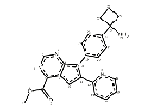 COC(=O)c1ncnc2c1cc(-c1ccccn1)n2-c1ccc(C2(N)CCC2)cc1